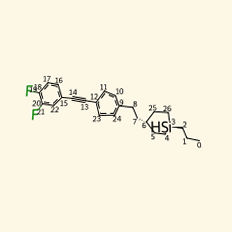 CCC[Si@H]1CC[C@H](CCc2ccc(C#Cc3ccc(F)c(F)c3)cc2)CC1